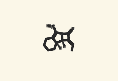 C/C=C1/C(=O)N2C(C(=O)O)=C3CCCC[C@@H]3[C@H]12